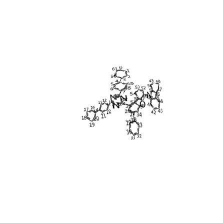 c1ccc(-c2ccc(-c3nc(-c4ccc(-c5ccccc5)cc4)nc(-c4cc(-c5ccccc5)cc5oc6c(-n7c8ccccc8c8ccccc87)cccc6c45)n3)cc2)cc1